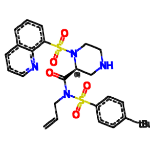 C=CCN(C(=O)[C@@H]1CNCCN1S(=O)(=O)c1cccc2cccnc12)S(=O)(=O)c1ccc(C(C)(C)C)cc1